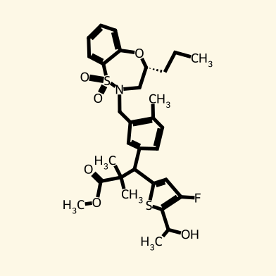 CCC[C@@H]1CN(Cc2cc(C(c3cc(F)c(C(C)O)s3)C(C)(C)C(=O)OC)ccc2C)S(=O)(=O)c2ccccc2O1